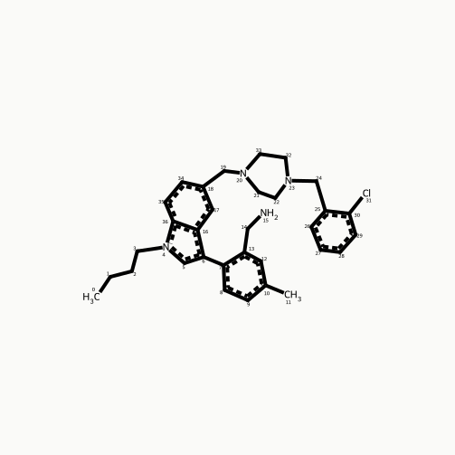 CCCCn1cc(-c2ccc(C)cc2CN)c2cc(CN3CCN(Cc4ccccc4Cl)CC3)ccc21